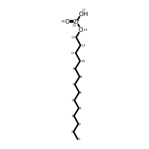 CCCCCCCCCCCCCC[O][Zr](=[O])[OH]